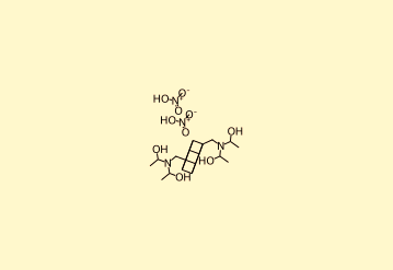 CC(O)N(CC12C3C4C1C1C2C3C41CN(C(C)O)C(C)O)C(C)O.O=[N+]([O-])O.O=[N+]([O-])O